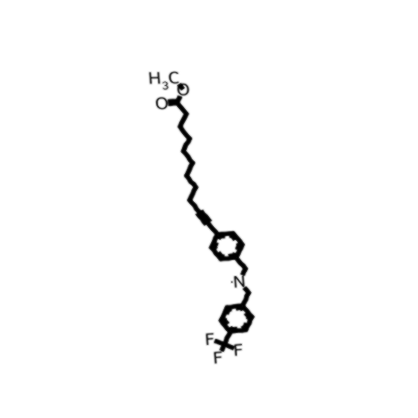 COC(=O)CCCCCCCCC#Cc1ccc(C[N]Cc2ccc(C(F)(F)F)cc2)cc1